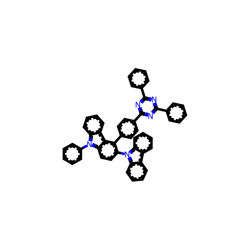 c1ccc(-c2nc(-c3ccccc3)nc(-c3ccc(-c4c(-n5c6ccccc6c6ccccc65)ccc5c4c4ccccc4n5-c4ccccc4)cc3)n2)cc1